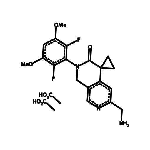 CC(=O)O.CC(=O)O.COc1cc(OC)c(F)c(N2Cc3cnc(CN)cc3C3(CC3)C2=O)c1F